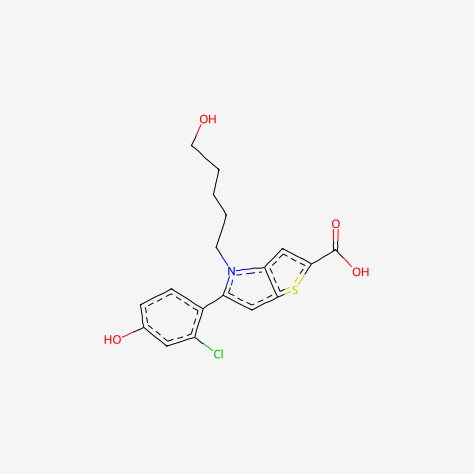 O=C(O)c1cc2c(cc(-c3ccc(O)cc3Cl)n2CCCCCO)s1